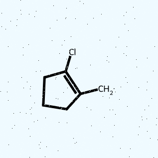 [CH2]C1=C(Cl)CCC1